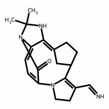 CC1(C)N/C2=C3/CCC(C3)C3=C(C=N)CCN3c3ccc2n1c3=O